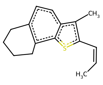 C/C=C\c1sc2c3c(ccc2c1C)CCCC3